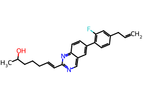 C=CCc1ccc(-c2ccc3nc(C=CCCCC(C)O)ncc3c2)c(F)c1